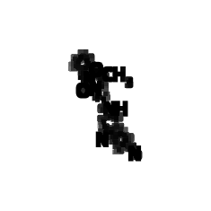 Cc1cn(CCCNC2CCC(C#N)(c3ccc(C#N)cc3)CC2)c(=O)n(Cc2ccccc2)c1=O